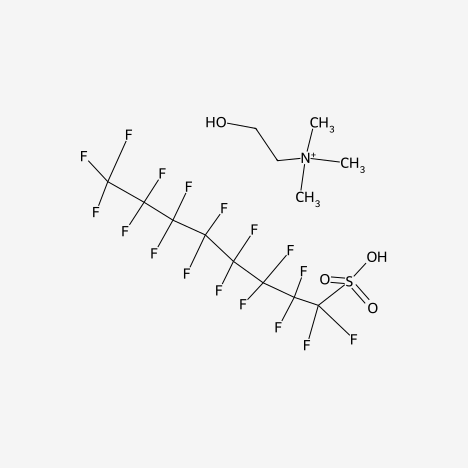 C[N+](C)(C)CCO.O=S(=O)(O)C(F)(F)C(F)(F)C(F)(F)C(F)(F)C(F)(F)C(F)(F)C(F)(F)C(F)(F)F